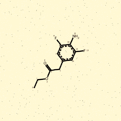 CCOC(=O)Cc1cc(F)c(N)c(F)c1